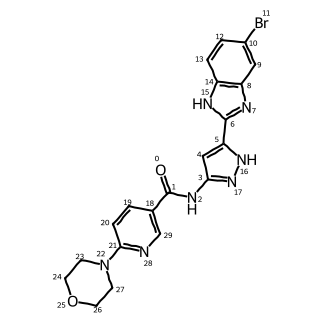 O=C(Nc1cc(-c2nc3cc(Br)ccc3[nH]2)[nH]n1)c1ccc(N2CCOCC2)nc1